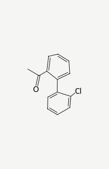 CC(=O)c1ccccc1-c1ccccc1Cl